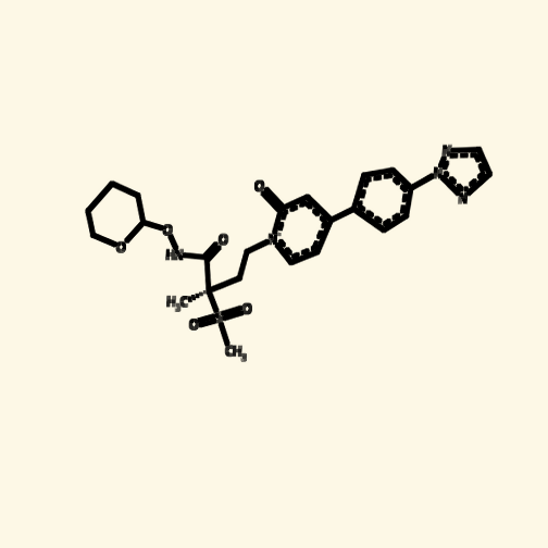 C[C@@](CCn1ccc(-c2ccc(-n3nccn3)cc2)cc1=O)(C(=O)NOC1CCCCO1)S(C)(=O)=O